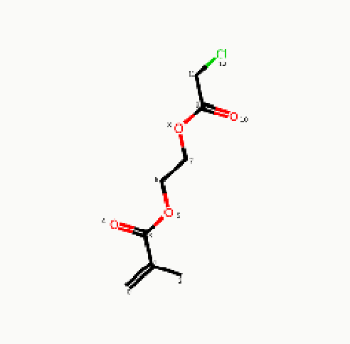 C=C(C)C(=O)OCCOC(=O)CCl